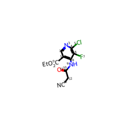 CCOC(=O)c1cnc(Cl)c(F)c1NC(=O)CC#N